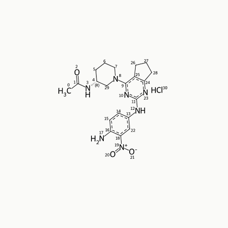 CC(=O)N[C@@H]1CCCN(c2nc(Nc3ccc(N)c([N+](=O)[O-])c3)nc3c2CCC3)C1.Cl